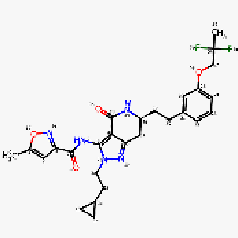 Cc1cc(C(=O)Nc2c3c(nn2CCC2CC2)C[C@H](CCc2cccc(OCC(C)(F)F)c2)NC3=O)no1